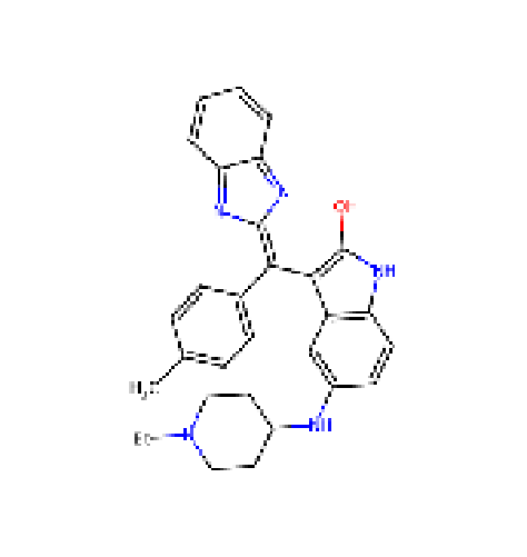 CCN1CCC(Nc2ccc3[nH]c(O)c(C(=C4N=c5ccccc5=N4)c4ccc(C)cc4)c3c2)CC1